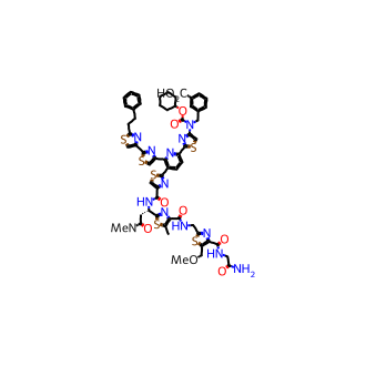 CNC(=O)C[C@H](NC(=O)c1csc(-c2ccc(-c3nc(N(Cc4cccc(C(=O)O)c4)C(=O)OC4CCCCC4)cs3)nc2-c2csc(-c3csc(CCc4ccccc4)n3)n2)n1)c1nc(C(=O)NCc2nc(C(=O)NCC(N)=O)c(COC)s2)c(C)s1